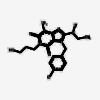 CC[S+]([O-])c1nc2c(c(=O)n(CCCO)c(=O)n2C)n1Cc1ccc(Cl)cc1